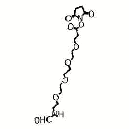 O=CNCCOCCOCCOCCOCCC(=O)ON1C(=O)CCC1=O